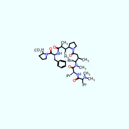 CCC(C)C(C(C)CC(=O)N1CCCC1C(C)C(C)C(=O)N[C@@H](Cc1ccccc1)C(=O)N1CCCC1C(=O)O)N(C)C(=O)[C@@H](NC(=O)C(C(C)C)N(C)C)C(C)C